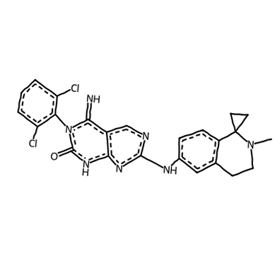 CN1CCc2cc(Nc3ncc4c(=N)n(-c5c(Cl)cccc5Cl)c(=O)[nH]c4n3)ccc2C12CC2